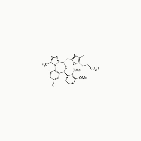 COc1cccc([C@@H]2O[C@@H](Cc3nc(C)c(CCC(=O)O)o3)c3nnc(C(F)(F)F)n3-c3ccc(Cl)cc32)c1OC